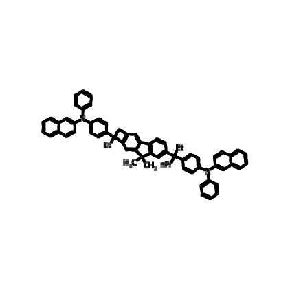 CCCC(CC)(c1ccc(N(c2ccccc2)c2ccc3ccccc3c2)cc1)c1ccc2c(c1)C(C)(C)c1cc3c(cc1-2)CC3(CC)c1ccc(N(c2ccccc2)c2ccc3ccccc3c2)cc1